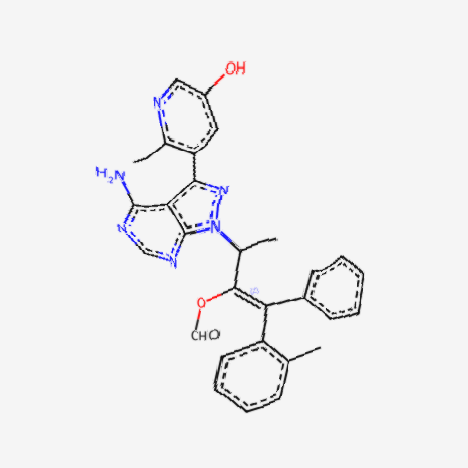 Cc1ccccc1/C(=C(\OC=O)C(C)n1nc(-c2cc(O)cnc2C)c2c(N)ncnc21)c1ccccc1